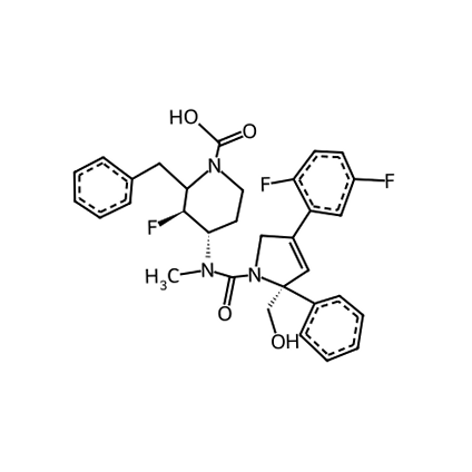 CN(C(=O)N1CC(c2cc(F)ccc2F)=C[C@@]1(CO)c1ccccc1)[C@H]1CCN(C(=O)O)C(Cc2ccccc2)[C@@H]1F